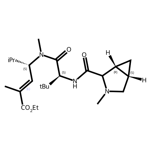 CCOC(=O)/C(C)=C/[C@H](C(C)C)N(C)C(=O)[C@@H](NC(=O)C1[C@@H]2C[C@@H]2CN1C)C(C)(C)C